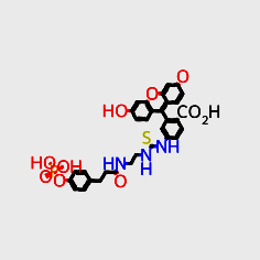 O=C(CCc1ccc(OP(=O)(O)O)cc1)NCCNC(=S)Nc1ccc(C(=O)O)c(-c2c3ccc(=O)cc-3oc3cc(O)ccc23)c1